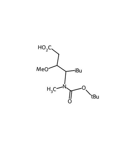 CCC(C)C(C(CC(=O)O)OC)N(C)C(=O)OC(C)(C)C